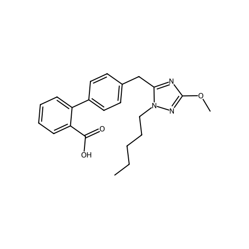 CCCCCn1nc(OC)nc1Cc1ccc(-c2ccccc2C(=O)O)cc1